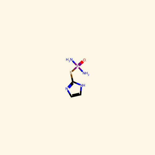 NP(N)(=O)Sc1ncc[nH]1